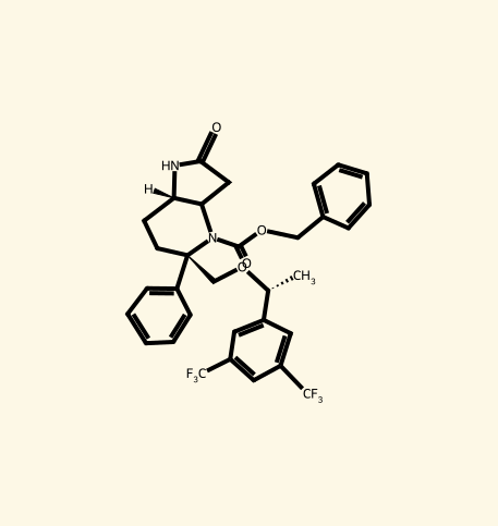 C[C@@H](OC[C@@]1(c2ccccc2)CC[C@@H]2NC(=O)CC2N1C(=O)OCc1ccccc1)c1cc(C(F)(F)F)cc(C(F)(F)F)c1